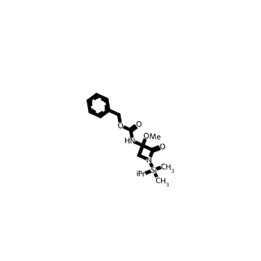 COC1(NC(=O)OCc2ccccc2)CN([Si](C)(C)C(C)C)C1=O